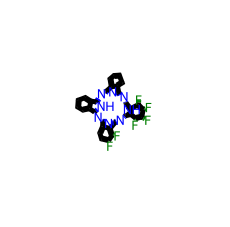 Fc1ccc2c(c1F)-c1nc-2nc2[nH]c(nc3nc(nc4[nH]c(n1)c1c(F)c(F)c(F)c(F)c41)-c1ccccc1-3)c1ccccc21